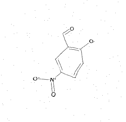 [O]c1ccc([N+](=O)[O-])cc1C=O